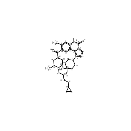 Cc1cc2[nH]c(=O)c3cnn(C4CCC(F)(F)CC4)c3c2cc1C(=O)N1CCN(CCOCC2CC2)[C@@H](C)C1